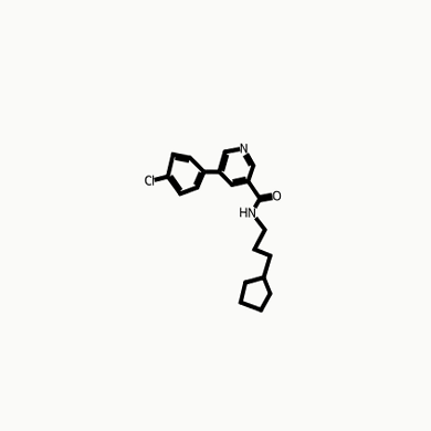 O=C(NCCCC1CCCC1)c1cncc(-c2ccc(Cl)cc2)c1